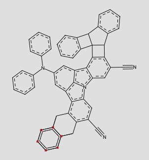 N#Cc1cc2c(c3c1C1c4ccccc4C3c3ccccc31)c1cc(N(c3ccccc3)c3ccccc3)cc3c4c5c(c(C#N)cc4n2c13)C1c2ccccc2C2c3ccccc3C521